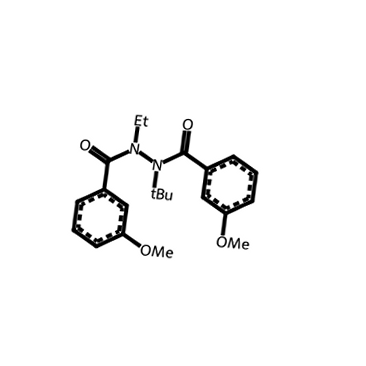 CCN(C(=O)c1cccc(OC)c1)N(C(=O)c1cccc(OC)c1)C(C)(C)C